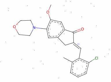 COc1cc2c(cc1N1CCOCC1)C/C(=C\c1c(C)cccc1Cl)C2=O